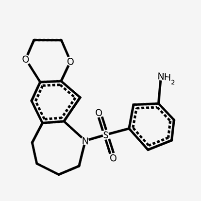 Nc1cccc(S(=O)(=O)N2CCCCc3cc4c(cc32)OCCO4)c1